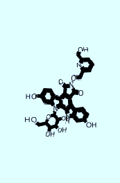 O=C1c2c(c3c4ccc(O)cc4n(C4OC(CO)C(O)C(O)C4O)c3c3[nH]c4cc(O)ccc4c23)C(=O)N1OCc1cccc(CO)n1